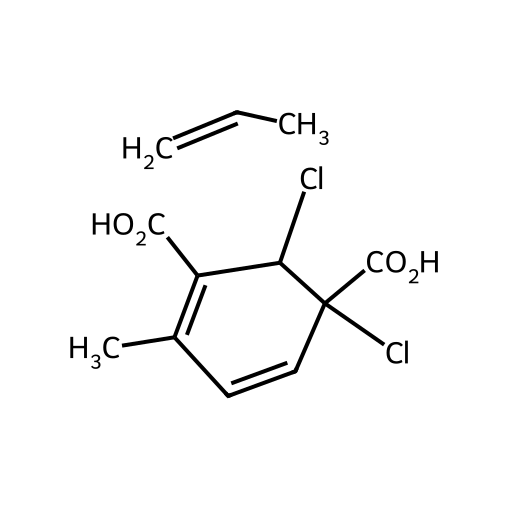 C=CC.CC1=C(C(=O)O)C(Cl)C(Cl)(C(=O)O)C=C1